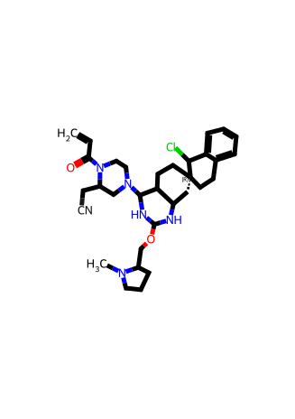 C=CC(=O)N1CCN(C2NC(OCC3CCCN3C)NC3C[C@]4(CCc5ccccc5C4Cl)CCC32)CC1CC#N